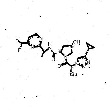 CC(NC(=O)[C@@H]1C[C@@H](O)CN1C(=O)[C@@H](n1cc(C2CC2)nn1)C(C)(C)C)c1nccc(C(F)F)n1